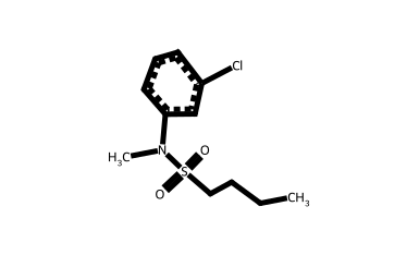 CCCCS(=O)(=O)N(C)c1cc[c]c(Cl)c1